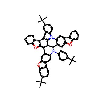 CC(C)(C)c1ccc(N2B3c4cc5oc6ccccc6c5cc4-n4c5ccc(C(C)(C)C)cc5c5c6c(oc7ccccc76)c(c3c54)-c3cc4oc5cc(C(C)(C)C)ccc5c4cc32)cc1